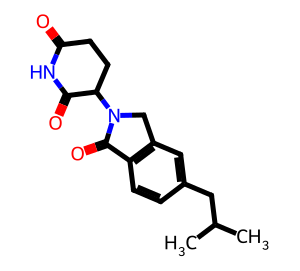 CC(C)Cc1ccc2c(c1)CN(C1CCC(=O)NC1=O)C2=O